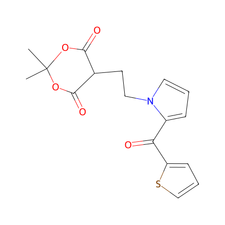 CC1(C)OC(=O)C(CCn2cccc2C(=O)c2cccs2)C(=O)O1